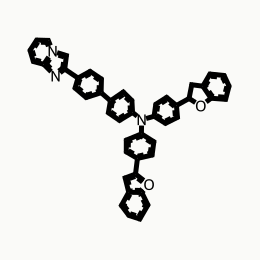 c1ccc2c(c1)CC(c1ccc(N(c3ccc(-c4ccc(-c5cn6ccccc6n5)cc4)cc3)c3ccc(-c4cc5ccccc5o4)cc3)cc1)O2